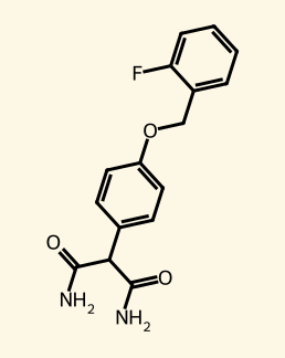 NC(=O)C(C(N)=O)c1ccc(OCc2ccccc2F)cc1